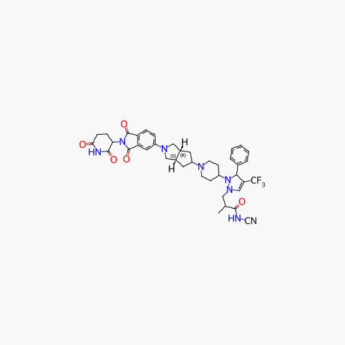 CC(CN1C=C(C(F)(F)F)C(c2ccccc2)N1C1CCN(C2C[C@@H]3CN(c4ccc5c(c4)C(=O)N(C4CCC(=O)NC4=O)C5=O)C[C@@H]3C2)CC1)C(=O)NC#N